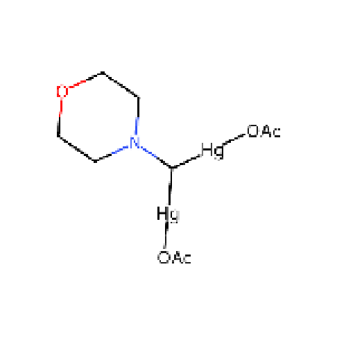 CC(=O)[O][Hg][CH]([Hg][O]C(C)=O)N1CCOCC1